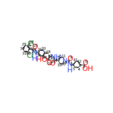 O=C(O)c1ccc(NC(=O)N2CCC(C(=O)N[C@@H](Cc3ccc(NC(=O)c4c(Cl)cccc4Cl)cc3)C(=O)O)CC2)cc1